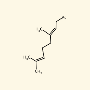 CC(=O)C/C=C(\C)CCC=C(C)C